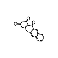 O=C1CC(=O)C2=C(C1)Cc1cc3ccccc3cc1C2=O